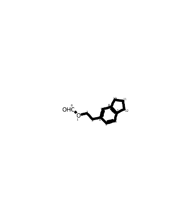 O=COCCc1ccc2c(c1)CCC2